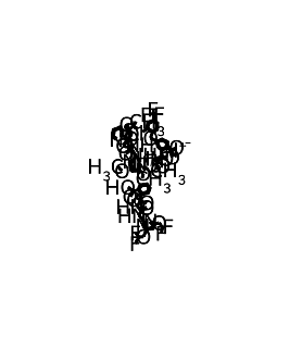 CCS(=O)(=O)c1cccnc1S(=O)(=O)NC(=O)Nc1nc(OC)cc(OC)n1.CS(=O)(=O)NC(=O)c1cc(Oc2ccc(C(F)(F)F)cc2Cl)ccc1[N+](=O)[O-].O=C(Nc1nc(OC(F)F)cc(OC(F)F)n1)NS(=O)(=O)c1ccccc1C(=O)O